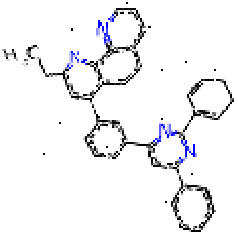 CCc1cc(-c2cccc(-c3cc(-c4ccccc4)nc(C4=CCCC=C4)n3)c2)c2ccc3cccnc3c2n1